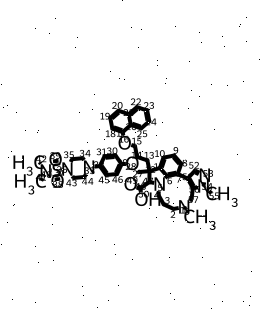 CN1CCCN2c3c(cccc3C(CCCOc3cccc4ccccc34)(COc3ccc(N4CCN(S(=O)(=O)N(C)C)CC4)cc3)C2C(=O)O)-c2cnn(C)c2C1